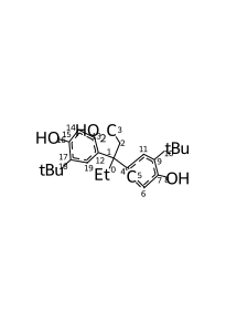 CCC(CC(=O)O)(c1ccc(O)c(C(C)(C)C)c1)c1ccc(O)c(C(C)(C)C)c1